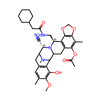 COc1c(C)cc2c(c1O)C1C3Cc4c(OC(C)=O)c(C)c5c(c4[C@H](CNC(=O)CC4CCCCC4)N3[C@@H](C#N)C(C2)N1C)OCO5